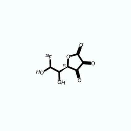 O=C1O[C@H](C(O)C(O)[18F])C(=O)C1=O